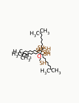 CC(C)CCCCCCC(S)C(S)(C(S)CCCCCCC(C)C)C(OCCS)(C(S)CCCCCCC(C)C)C(S)CCCCCCC(C)C